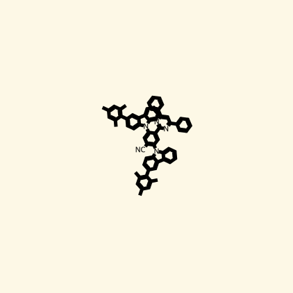 Cc1cc(C)c(-c2ccc3c(c2)c2ccccc2n3-c2cc(-c3nc(-c4ccccc4)cc(-c4ccccc4)n3)c(-n3c4ccccc4c4cc(-c5c(C)cc(C)cc5C)ccc43)cc2C#N)c(C)c1